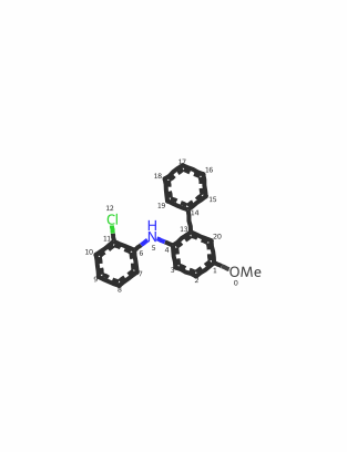 COc1ccc(Nc2ccccc2Cl)c(-c2ccccc2)c1